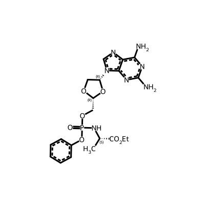 CCOC(=O)[C@H](C)NP(=O)(OC[C@@H]1OC[C@H](n2cnc3c(N)nc(N)nc32)O1)Oc1ccccc1